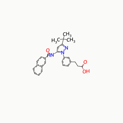 CC(C)(C)c1cc(NC(=O)c2ccc3ccccc3c2)n(-c2cccc(CCC(=O)O)c2)n1